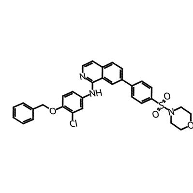 O=S(=O)(c1ccc(-c2ccc3ccnc(Nc4ccc(OCc5ccccc5)c(Cl)c4)c3c2)cc1)N1CCOCC1